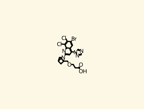 O=C(O)CCOCC12CC(CN1c1cc(-n3cncn3)c3cc(Br)c(Cl)c(Cl)c3n1)C2